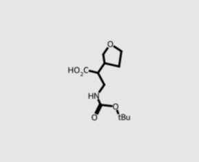 CC(C)(C)OC(=O)NCC(C(=O)O)C1CCOC1